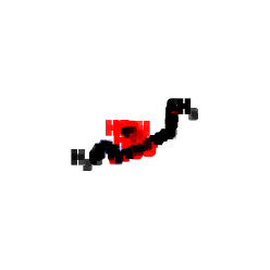 CC/C=C\C/C=C\C/C=C\C/C=C\CCCCC(=O)O[C@H](COC(=O)CCCCCCC/C=C\CCCCCCCC)COP(=O)(O)OC[C@@H](O)CO